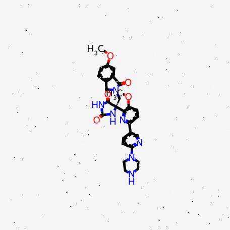 COc1ccc2c(c1)C(=O)N(C[C@@]1(c3nc(-c4ccc(N5CCNCC5)nc4)ccc3OC)NC(=O)NC1=O)C2